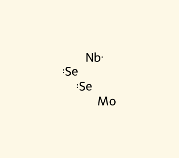 [Mo].[Nb].[Se].[Se]